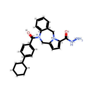 NNC(=O)c1ccc2n1Cc1ccccc1N(C(=O)c1ccc(C3CCCCC3)cc1)C2